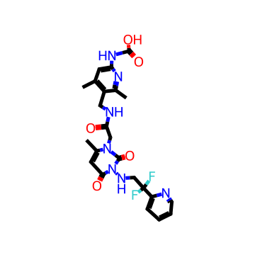 Cc1cc(NC(=O)O)nc(C)c1CNC(=O)Cn1c(C)cc(=O)n(NCC(F)(F)c2ccccn2)c1=O